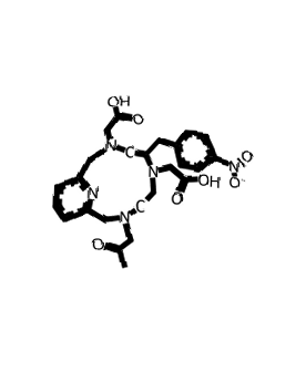 CC(=O)CN1CCN(CC(=O)O)C(Cc2ccc([N+](=O)[O-])cc2)CN(CC(=O)O)Cc2cccc(n2)C1